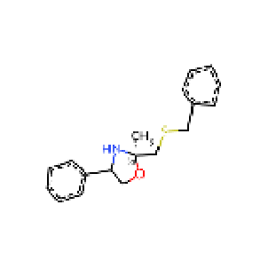 C[C@@]1(CSCc2ccccc2)NC(c2ccccc2)CO1